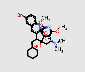 COc1cc(C(O)(CCN(C)C)C(CC2CCCCC2)c2cc3cc(Br)ccc3nc2OC)cc(OC)n1